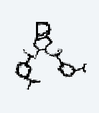 CC(C)c1cccc(C(=O)OC2CC3C4CCC(C4)C3CC2OC(=O)c2cccc(C(C)C)c2)c1